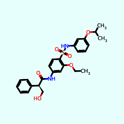 CCOc1cc(NC(=O)[C@@H](CO)c2ccccc2)ccc1S(=O)(=O)Nc1cccc(OC(C)C)c1